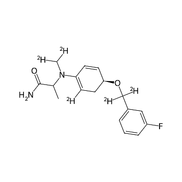 [2H]C1=C(N(C([2H])[2H])C(C)C(N)=O)C=C[C@@H](OC([2H])([2H])c2cccc(F)c2)C1